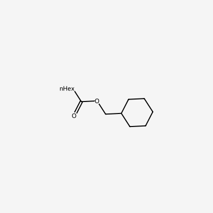 [CH2]CCCCCC(=O)OCC1CCCCC1